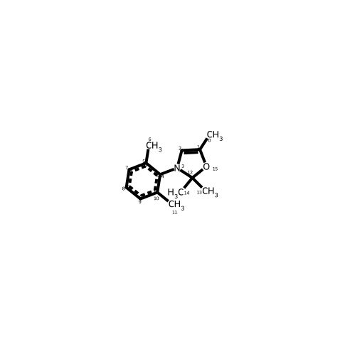 CC1=CN(c2c(C)cccc2C)C(C)(C)O1